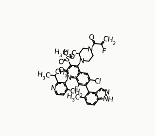 C=C(F)C(=O)N1CCN(c2c(S(C)(=O)=O)c(=O)n(-c3c(C)ccnc3C(C)C)c3c(F)c(-c4c(C)ccc5[nH]ncc45)c(Cl)cc23)[C@@H](C)C1